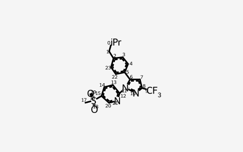 CC(C)Cc1ccc(-c2cc(C(F)(F)F)nn2-c2ccc(S(C)(=O)=O)cn2)cc1